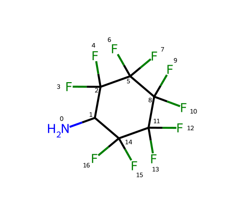 NC1C(F)(F)C(F)(F)C(F)(F)C(F)(F)C1(F)F